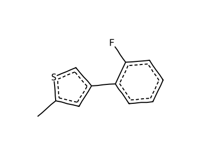 Cc1cc(-c2ccccc2F)cs1